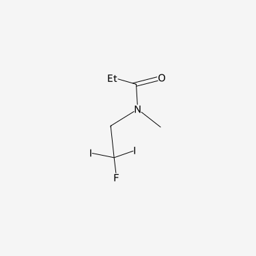 CCC(=O)N(C)CC(F)(I)I